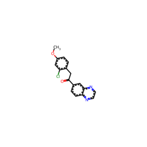 COc1ccc(CC(=O)c2ccc3nccnc3c2)c(Cl)c1